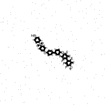 COc1c(F)c(F)c(-c2c(F)c(F)c(Oc3ccc(-c4ccc(Oc5ccc(S(=O)(=O)c6ccc(O)cc6)cc5)cc4)cc3)c(F)c2F)c(F)c1F